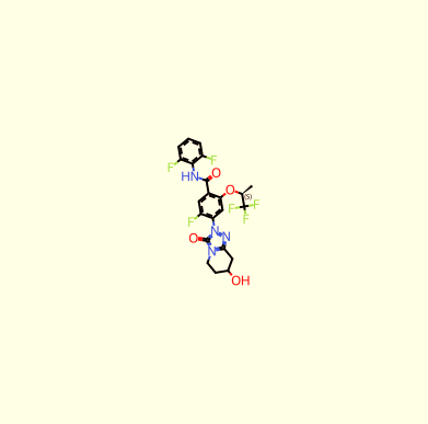 C[C@H](Oc1cc(-n2nc3n(c2=O)CCC(O)C3)c(F)cc1C(=O)Nc1c(F)cccc1F)C(F)(F)F